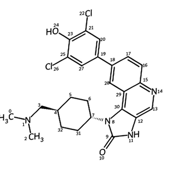 CN(C)C[C@H]1CC[C@H](n2c(=O)[nH]c3cnc4ccc(-c5cc(Cl)c(O)c(Cl)c5)cc4c32)CC1